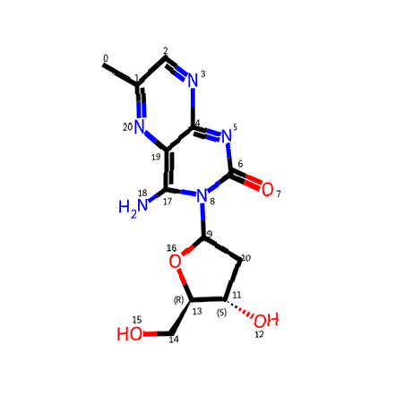 Cc1cnc2nc(=O)n(C3C[C@H](O)[C@@H](CO)O3)c(N)c2n1